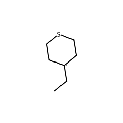 CC[C]1CCSCC1